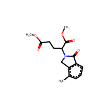 COC(=O)CCC(C(=O)OC)N1Cc2c(C)cccc2C1=O